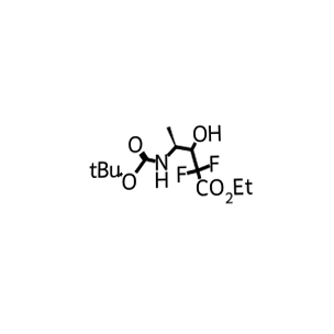 CCOC(=O)C(F)(F)C(O)[C@H](C)NC(=O)OC(C)(C)C